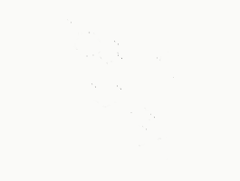 CN(C)CCn1nc2cc(N)ccc2c1-c1ncc(Cl)c(-c2cnn(S(C)(=O)=O)c2)n1